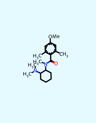 COc1cc(C)c(C(=O)N(C)C2CCCCC2N(C)C)c(C)c1